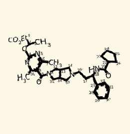 CCOC(=O)C(C)Oc1nc(C)c(C(=O)N2CC3CN(CCC(NC(=O)C4CCCC4)c4ccccc4)CC3C2)c(C)n1